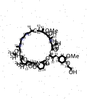 [2H]C([2H])([2H])O[C@H]1C[C@@H]2CC([2H])([2H])[C@@H](C)[C@@](O)(O2)C(=O)C(=O)N2CCCC[C@H]2C(=O)O[C@H]([C@H](C)C[C@@H]2CC[C@@H](OCCO)[C@H](OC)C2)CC(=O)[C@H](C([2H])([2H])[2H])/C=C(\C)[C@@H](O)[C@@H](OC)C(=C)[C@H](C)C[C@H](C)/C=C/C=C/C=C/1C